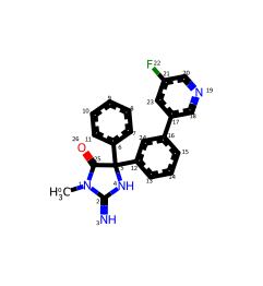 CN1C(=N)NC(c2ccccc2)(c2cccc(-c3cncc(F)c3)c2)C1=O